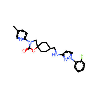 Cc1ccc(N2CC3(CCC(CNc4ccn(-c5ccccc5F)n4)CC3)OC2=O)nc1